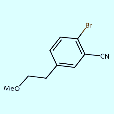 COCCc1ccc(Br)c(C#N)c1